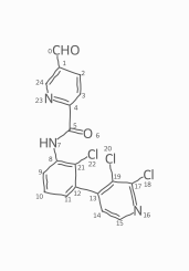 O=Cc1ccc(C(=O)Nc2cccc(-c3ccnc(Cl)c3Cl)c2Cl)nc1